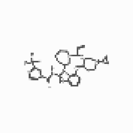 C=CC(=O)N1CCCCC(n2c(NC(=O)c3ccnc(C(F)(F)F)c3)nc3cccc(OC4CCN(C5CC5)CC4)c32)C1